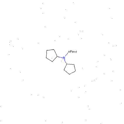 CCCCCN(C1CCCC1)C1CCCC1